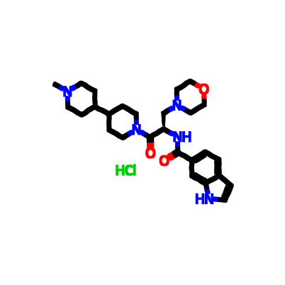 CN1CCC(C2CCN(C(=O)[C@@H](CN3CCOCC3)NC(=O)c3ccc4cc[nH]c4c3)CC2)CC1.Cl